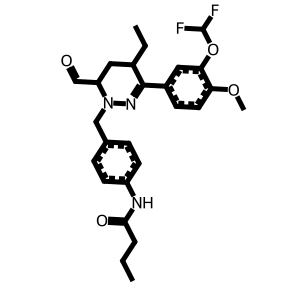 CCCC(=O)Nc1ccc(CN2N=C(c3ccc(OC)c(OC(F)F)c3)C(CC)CC2C=O)cc1